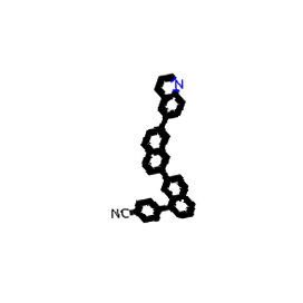 N#Cc1ccc(-c2cccc3ccc(-c4ccc5ccc(-c6ccc7ncccc7c6)cc5c4)cc23)cc1